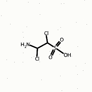 NC(Cl)C(Cl)S(=O)(=O)O